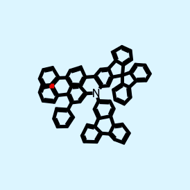 c1ccc(-c2ccc(-c3cc4c(cc3N(c3ccc(-c5ccccc5)c(-c5ccccc5)c3)c3ccc5c6ccccc6c6ccccc6c5c3)C3(c5ccccc5-c5ccccc53)c3ccccc3-4)cc2)cc1